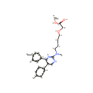 Cc1ccc(-c2cnc(N(C)CCCCOCC(=O)OC(C)(C)C)nc2-c2ccc(C)cc2)cc1